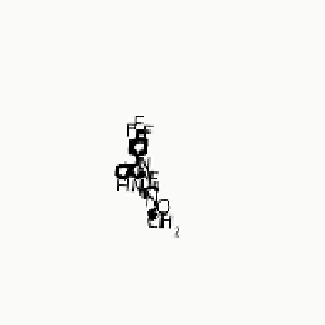 C=CC(=O)N1C[C@H](F)[C@H](Nc2nnc(-c3ccc(C(F)(F)F)cc3)c3ccccc23)C1